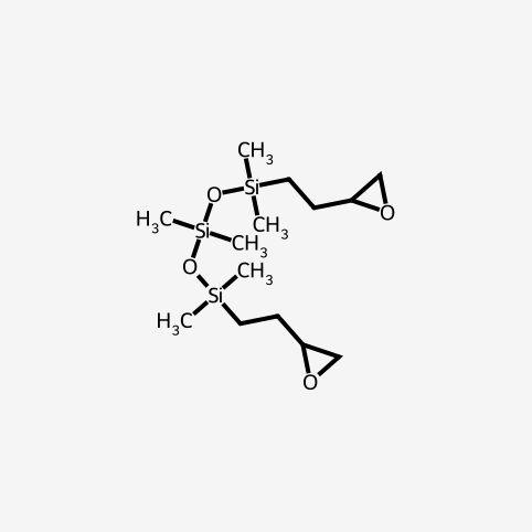 C[Si](C)(CCC1CO1)O[Si](C)(C)O[Si](C)(C)CCC1CO1